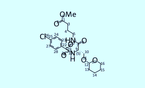 COC(=O)CCCNC(=O)[C@H](COC1CCCCO1)NS(=O)(=O)c1ccc(Cl)cc1